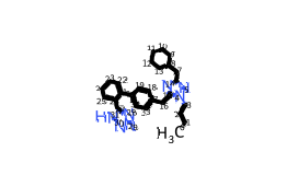 CCCCn1nc(CC2CCCCC2)nc1Cc1ccc(-c2ccccc2-c2nnn[nH]2)cc1